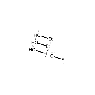 CCO.CCO.CCO.CCO